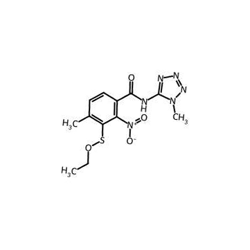 CCOSc1c(C)ccc(C(=O)Nc2nnnn2C)c1[N+](=O)[O-]